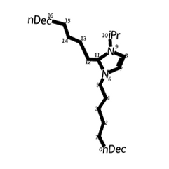 CCCCCCCCCCCCCCCN1C=CN(C(C)C)C1CCCCCCCCCCCCCC